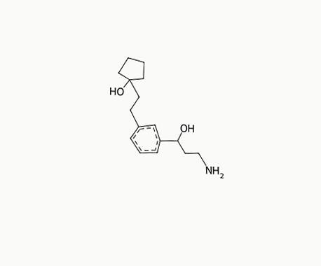 NCCC(O)c1cccc(CCC2(O)CCCC2)c1